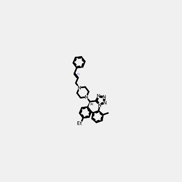 CCc1ccc([C@H](c2nnnn2-c2c(C)cccc2C)N2CCN(C/C=C/c3ccccc3)CC2)cc1